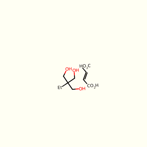 CCC(CO)(CO)CO.O=C(O)C=CC(=O)O